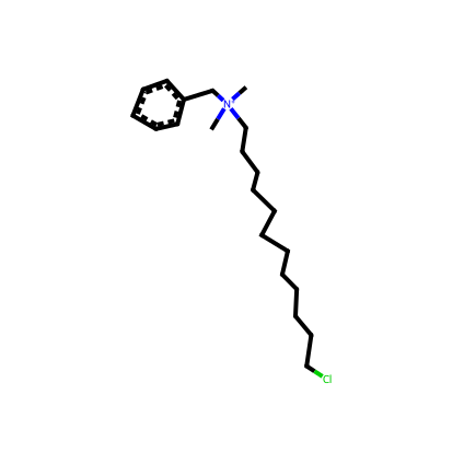 C[N+](C)(CCCCCCCCCCCCCl)Cc1ccccc1